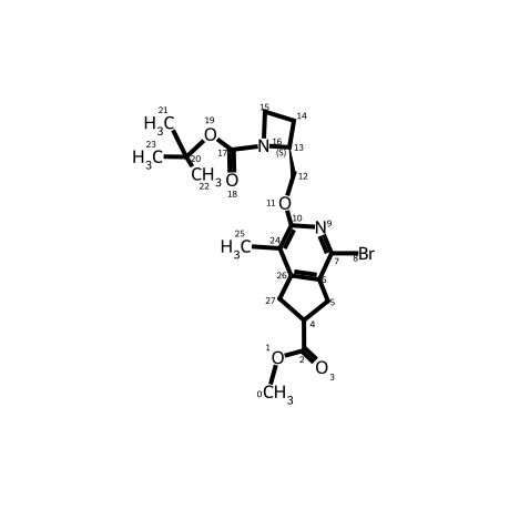 COC(=O)C1Cc2c(Br)nc(OC[C@@H]3CCN3C(=O)OC(C)(C)C)c(C)c2C1